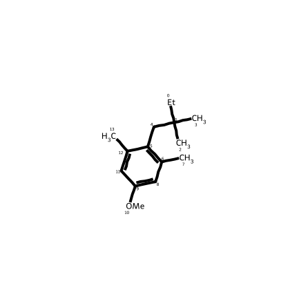 CCC(C)(C)Cc1c(C)cc(OC)cc1C